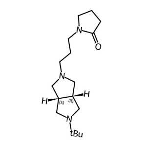 CC(C)(C)N1C[C@H]2CN(CCCN3CCCC3=O)C[C@H]2C1